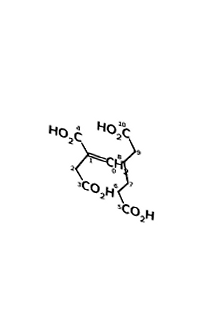 C=C(CC(=O)O)C(=O)O.O=C(O)CCCCC(=O)O